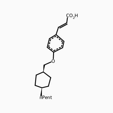 CCCCC[C@H]1CC[C@@H](COc2ccc(/C=C/C(=O)O)cc2)CC1